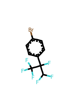 FC(F)C(F)(c1ccc(Br)cc1)C(F)(F)F